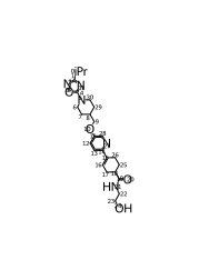 CC(C)c1noc(N2CCC(COc3ccc(C4=CCC(C(=O)NCCO)CC4)nc3)CC2)n1